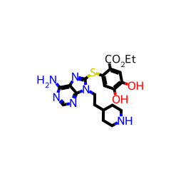 CCOC(=O)c1cc(O)c(O)cc1Sc1nc2c(N)ncnc2n1CCC1CCNCC1